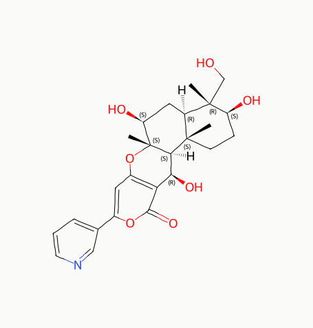 C[C@]12CC[C@H](O)[C@@](C)(CO)[C@@H]1C[C@H](O)[C@@]1(C)Oc3cc(-c4cccnc4)oc(=O)c3[C@H](O)[C@H]21